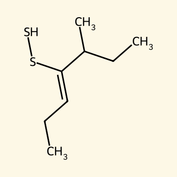 CCC=C(SS)C(C)CC